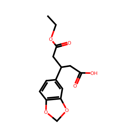 CCOC(=O)CC(CC(=O)O)c1ccc2c(c1)OCO2